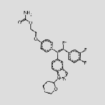 CCC(=C(c1ccc(OCCOC(N)=O)cc1)c1ccc2c(cnn2C2CCCCO2)c1)c1ccc(F)c(F)c1